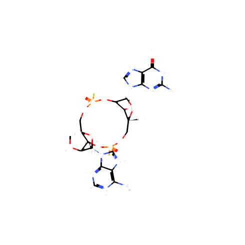 Nc1nc2c(ncn2[C@@H]2O[C@@H]3COP(=O)(S)O[C@@H]4C5OC[C@]4(COP(=O)(S)OC2[C@H]3O)O[C@H]5n2cnc3c(N)ncnc32)c(=O)[nH]1